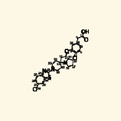 O=C(O)Cc1ccc(Cl)c(OCCC2(N3CCCC3)CCN(c3nc4ccc(Cl)cc4s3)CC2)c1